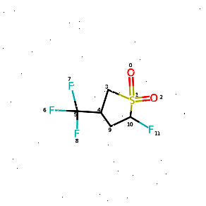 O=S1(=O)CC(C(F)(F)F)CC1F